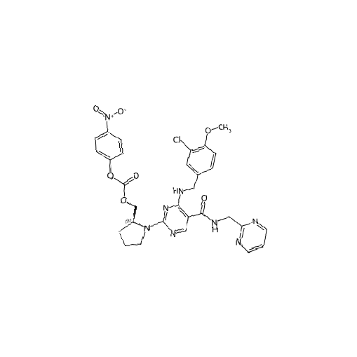 COc1ccc(CNc2nc(N3CCC[C@H]3COC(=O)Oc3ccc([N+](=O)[O-])cc3)ncc2C(=O)NCc2ncccn2)cc1Cl